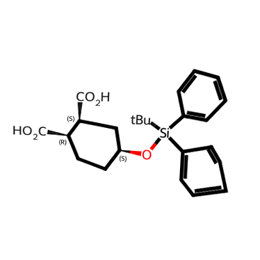 CC(C)(C)[Si](O[C@H]1CC[C@@H](C(=O)O)[C@@H](C(=O)O)C1)(c1ccccc1)c1ccccc1